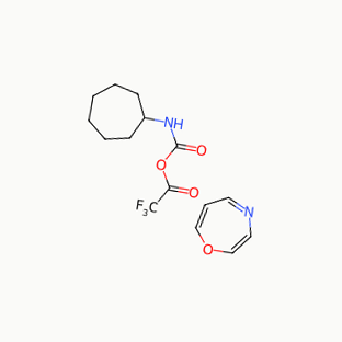 C1=COC=CN=C1.O=C(NC1CCCCCC1)OC(=O)C(F)(F)F